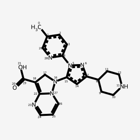 Cc1ccc(-n2nc(C3CCNCC3)cc2N2CC(C(=O)O)=C3N=CC=CN32)nc1